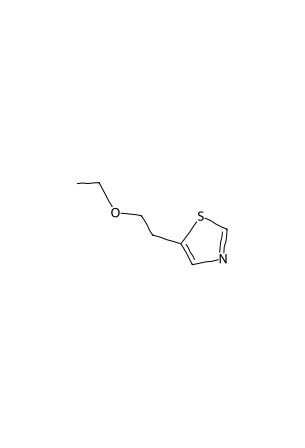 CCOCCc1cncs1